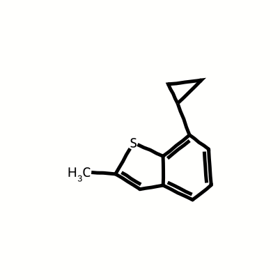 Cc1cc2cccc(C3CC3)c2s1